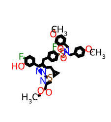 CCOC(=O)c1csc(-n2nc(-c3ccc(F)c(O)c3)c(Cc3ccc(S(=O)(=O)N(Cc4ccc(OC)cc4)Cc4ccc(OC)cc4)c(F)c3)c2CC2CC2)n1